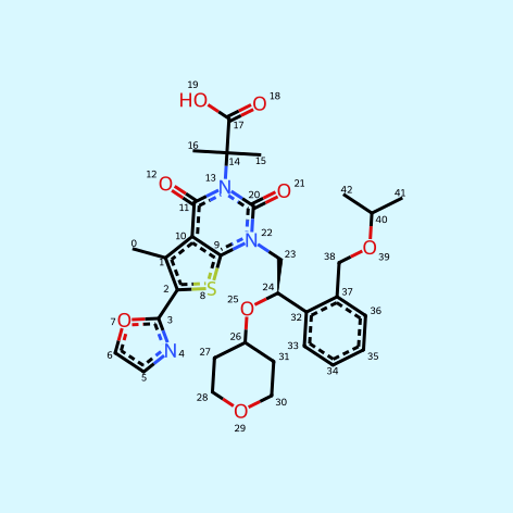 Cc1c(-c2ncco2)sc2c1c(=O)n(C(C)(C)C(=O)O)c(=O)n2C[C@H](OC1CCOCC1)c1ccccc1COC(C)C